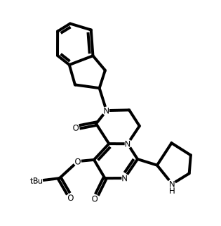 CC(C)(C)C(=O)Oc1c2n(c(C3CCCN3)nc1=O)CCN(C1Cc3ccccc3C1)C2=O